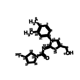 Cc1ccc(-n2cc(CO)s/c2=N\C(=O)N2CC[C@@H](F)C2)cc1C